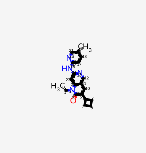 CCn1c(=O)c(C2CCC2)cc2cnc(Nc3ccc(C)cn3)cc21